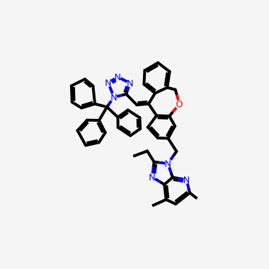 CCc1nc2c(C)cc(C)nc2n1Cc1ccc2c(c1)OCc1ccccc1C2=Cc1nnnn1C(c1ccccc1)(c1ccccc1)c1ccccc1